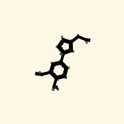 COc1cc(-n2cnc(CO)c2)ccc1C